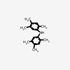 Cc1cc(C)c(Nc2cc(C)c(C)cc2C)cc1C